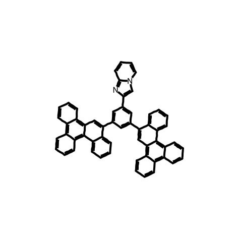 c1ccc2c(c1)c(-c1cc(-c3cn4ccccc4n3)cc(-c3cc4c5ccccc5c5ccccc5c4c4ccccc34)c1)cc1c3ccccc3c3ccccc3c21